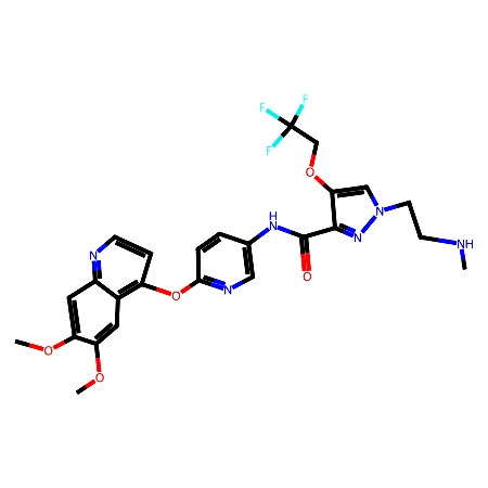 CNCCn1cc(OCC(F)(F)F)c(C(=O)Nc2ccc(Oc3ccnc4cc(OC)c(OC)cc34)nc2)n1